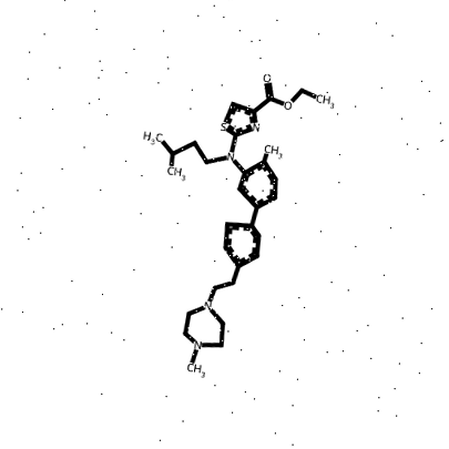 CCOC(=O)c1csc(N(CCC(C)C)c2cc(-c3ccc(CCN4CCN(C)CC4)cc3)ccc2C)n1